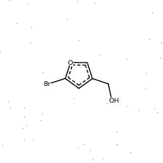 OCc1coc(Br)c1